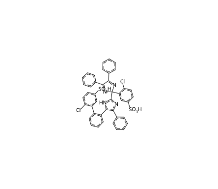 O=S(=O)(O)c1ccc(Cl)c(-c2ccccc2-c2[nH]c(C3(c4cc(S(=O)(=O)O)ccc4Cl)N=C(c4ccccc4)C(c4ccccc4)=N3)nc2-c2ccccc2)c1